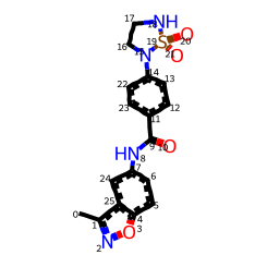 Cc1noc2ccc(NC(=O)c3ccc(N4CCNS4(=O)=O)cc3)cc12